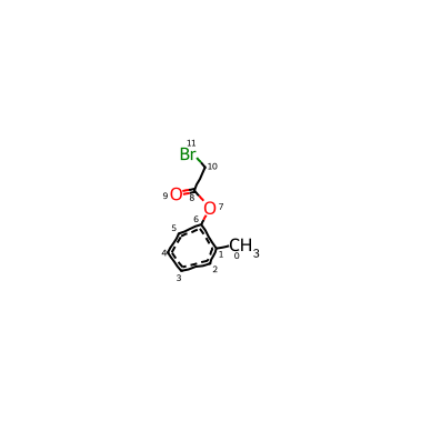 Cc1ccccc1OC(=O)CBr